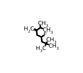 C=C(CC(F)CC(C)(C)C)C(C)C